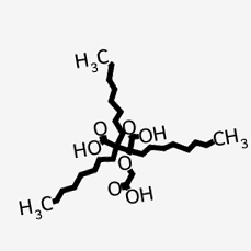 CCCCCCCCC(CCCCCCCC)(C(=O)O)C(CCCCCCCC)(OCC(=O)O)C(=O)O